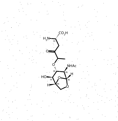 CC(=O)N[C@H]1[C@@H]2OC[C@@H](O2)[C@@H](O)[C@@H]1OC(C)C(=O)C[C@H](N)C(=O)O